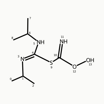 CC(C)N=C(NC(C)C)SC(=N)OO